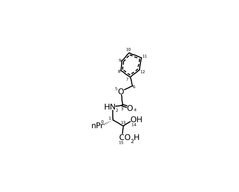 CCC[C@H](NC(=O)OCc1ccccc1)C(O)C(=O)O